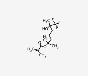 C=C(C)C(=O)OC(C)(C)CCCC(C)(O)C(F)(F)F